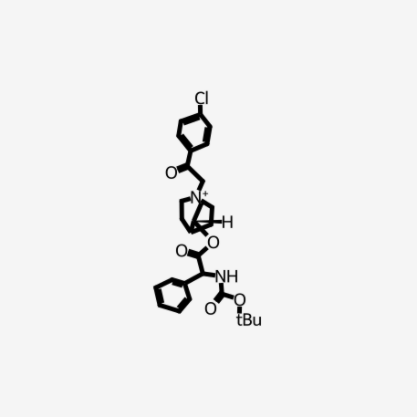 CC(C)(C)OC(=O)NC(C(=O)O[C@H]1C[N+]2(CC(=O)c3ccc(Cl)cc3)CCC1CC2)c1ccccc1